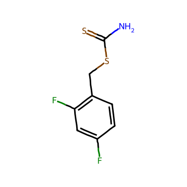 NC(=S)SCc1ccc(F)cc1F